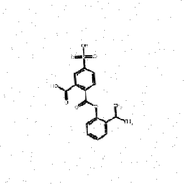 CC(C)c1ccccc1OC(=O)c1ccc(S(=O)(=O)O)cc1C(=O)O